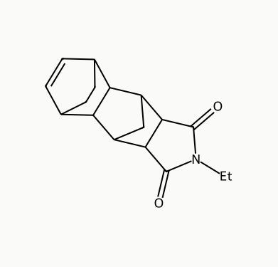 CCN1C(=O)C2C3CC(C2C1=O)C1C2C=CC(CC2)C31